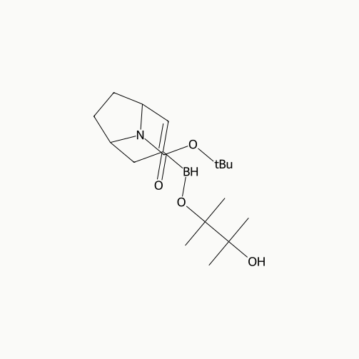 CC(C)(C)OC(=O)N1C2C=C(BOC(C)(C)C(C)(C)O)CC1CC2